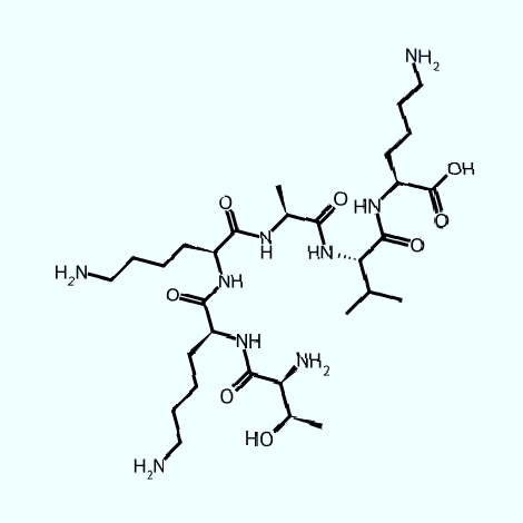 CC(C)[C@H](NC(=O)[C@H](C)NC(=O)[C@H](CCCCN)NC(=O)[C@H](CCCCN)NC(=O)[C@@H](N)[C@@H](C)O)C(=O)N[C@@H](CCCCN)C(=O)O